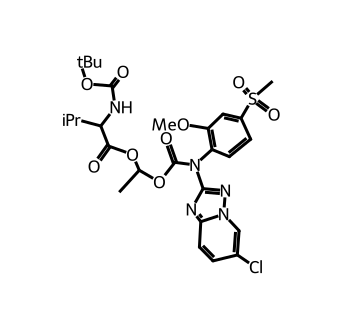 COc1cc(S(C)(=O)=O)ccc1N(C(=O)OC(C)OC(=O)C(NC(=O)OC(C)(C)C)C(C)C)c1nc2ccc(Cl)cn2n1